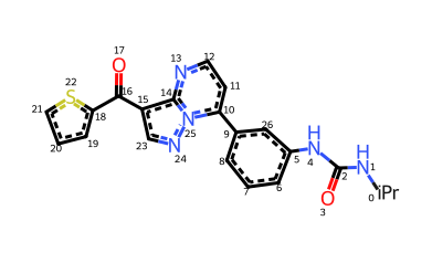 CC(C)NC(=O)Nc1cccc(-c2ccnc3c(C(=O)c4cccs4)cnn23)c1